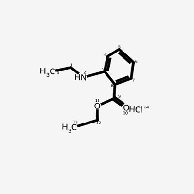 CCNc1ccccc1C(=O)OCC.Cl